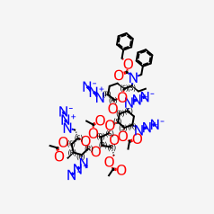 CC[C@@H]([C@@H]1CC[C@@H](N=[N+]=[N-])[C@@H](O[C@H]2[C@H](O[C@@H]3O[C@H](COC(C)=O)[C@@H](O[C@H]4O[C@@H](CN=[N+]=[N-])[C@@H](OC(C)=O)[C@H](C)[C@H]4N=[N+]=[N-])[C@H]3OC(C)=O)[C@@H](OC(C)=O)[C@H](N=[N+]=[N-])C[C@@H]2N=[N+]=[N-])O1)N(Cc1ccccc1)C(=O)OCc1ccccc1